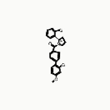 COc1ccc(-c2ccc(C(=O)N3CCC[C@@H]3c3ccccc3Cl)cc2)c(Cl)c1